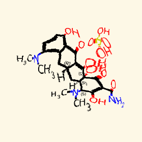 CN(C)c1ccc(O)c2c1C[C@H]1C[C@@H]3[C@H](N(C)C)C(O)=C(C(N)=O)C(=O)[C@@]3(O)C(O)=C1C2=O.O=S(=O)(O)O